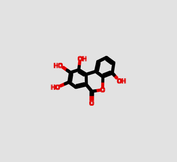 O=c1oc2c(O)cccc2c2c(O)c(O)c(O)cc12